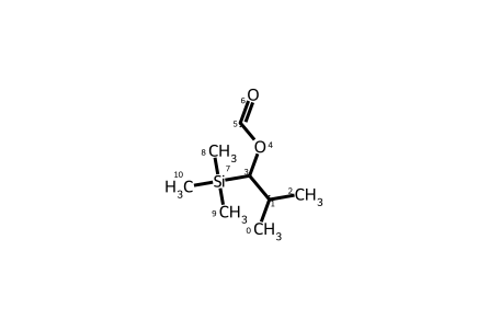 C[C](C)C(O[C]=O)[Si](C)(C)C